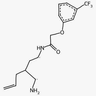 C=CCC([CH]N)C[CH]NC(=O)COc1cccc(C(F)(F)F)c1